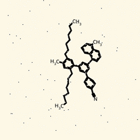 CCCCCCCCc1cc(-c2cc(-c3ccc(C#N)cc3)cc(-c3cccc4c(C)cccc34)c2)c(CCCCCCCC)cc1C